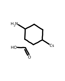 NC1CC[CH]([Cs])CC1.O=CO